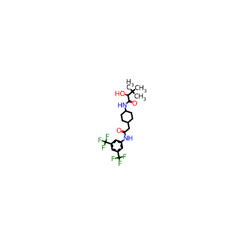 CC(C)(C)C(O)C(=O)NC1CCC(CC(=O)Nc2cc(C(F)(F)F)cc(C(F)(F)F)c2)CC1